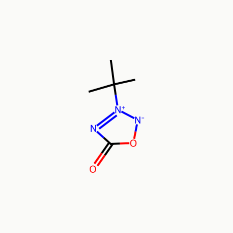 CC(C)(C)[n+]1nc(=O)o[n-]1